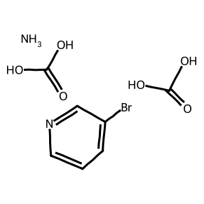 Brc1cccnc1.N.O=C(O)O.O=C(O)O